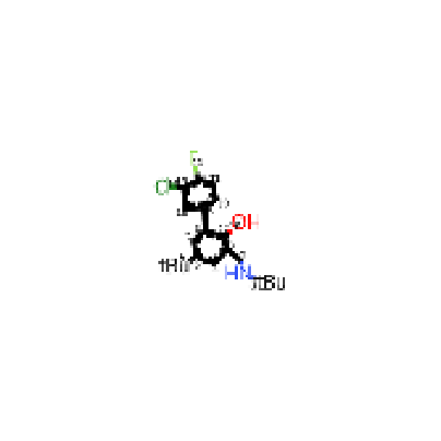 CC(C)(C)NCc1cc(C(C)(C)C)cc(-c2ccc(F)c(Cl)c2)c1O